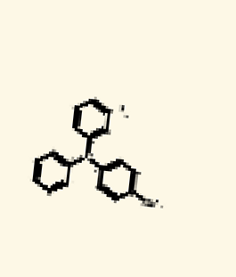 CSc1ccc([S+](c2ccccc2)c2ccccc2)cc1.[Br-]